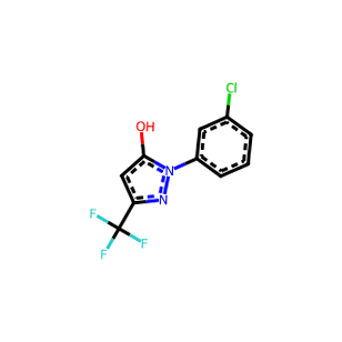 Oc1cc(C(F)(F)F)nn1-c1cccc(Cl)c1